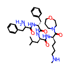 CNCCCC[C@@H](NC(=O)[C@@H](CC(C)C)NC(=O)[C@@H](Cc1ccccc1)NC(=O)[C@H](N)Cc1ccccc1)C(=O)N1CCCOCC1